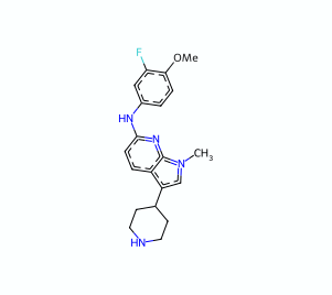 COc1ccc(Nc2ccc3c(C4CCNCC4)cn(C)c3n2)cc1F